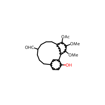 COc1c2cc(c(OC(C)=O)c1OC)CCCC(C=O)CCCc1ccc(O)c-2c1